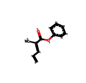 C=CC=C(C#N)C(=O)Oc1ccccc1